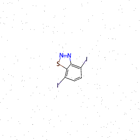 Ic1ccc(I)c2snnc12